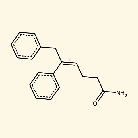 NC(=O)CC/C=C(/Cc1ccccc1)c1ccccc1